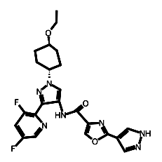 CCO[C@H]1CC[C@H](n2cc(NC(=O)c3coc(-c4cn[nH]c4)n3)c(-c3ncc(F)cc3F)n2)CC1